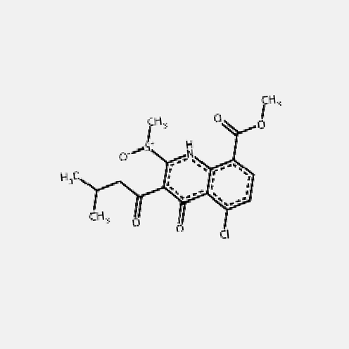 COC(=O)c1ccc(Cl)c2c(=O)c(C(=O)CC(C)C)c([S+](C)[O-])[nH]c12